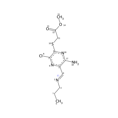 CCC/N=C/c1nc(Cl)c(SCC(=O)OC)nc1N